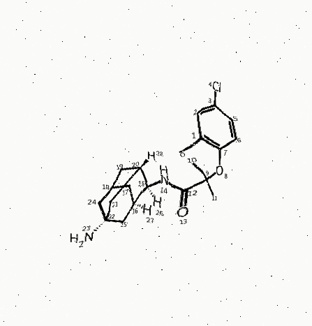 Cc1cc(Cl)ccc1OC(C)(C)C(=O)N[C@H]1[C@@H]2CC3C[C@H]1C[C@](N)(C3)C2